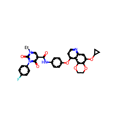 CCn1cc(C(=O)Nc2ccc(Oc3ccnc4cc(OC5CC5)c5c(c34)OCCO5)cc2)c(=O)n(-c2ccc(F)cc2)c1=O